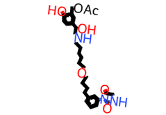 CC(=O)OCc1cc([C@H](O)CNCCCCCCOCCCCc2cccc(N3C(=O)CNC3=O)c2)ccc1O